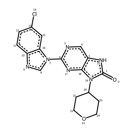 O=c1[nH]c2cnc(-n3cnc4ccc(Cl)cc43)nc2n1C1CCOCC1